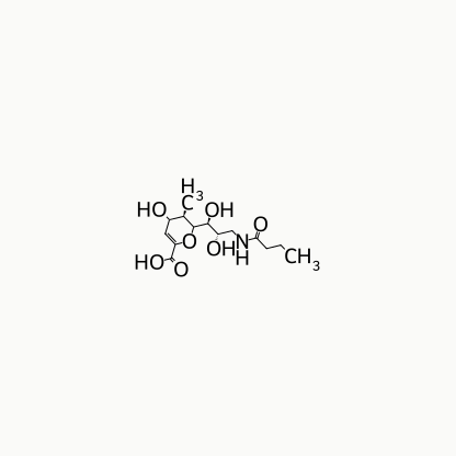 CCCC(=O)NC[C@H](O)[C@H](O)C1OC(C(=O)O)=CC(O)[C@H]1C